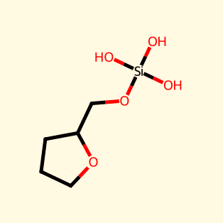 O[Si](O)(O)OCC1CCCO1